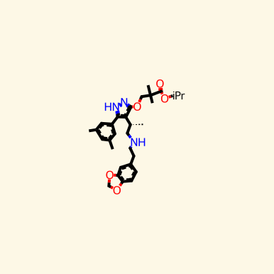 Cc1cc(C)cc(-c2[nH]nc(OCC(C)(C)C(=O)OC(C)C)c2[C@H](C)CNCCc2ccc3c(c2)OCO3)c1